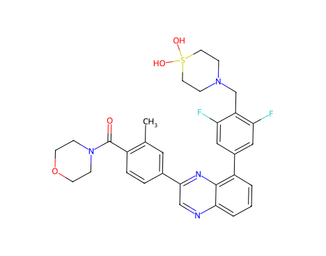 Cc1cc(-c2cnc3cccc(-c4cc(F)c(CN5CCS(O)(O)CC5)c(F)c4)c3n2)ccc1C(=O)N1CCOCC1